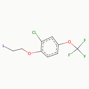 FC(F)(F)Oc1ccc(OCCI)c(Cl)c1